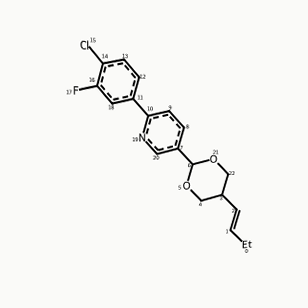 CCC=CC1COC(c2ccc(-c3ccc(Cl)c(F)c3)nc2)OC1